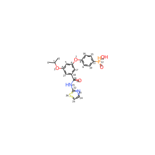 CC(C)Oc1cc(Oc2ccc([PH](=O)O)cc2)cc(C(=O)Nc2nccs2)c1